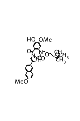 COc1ccc2cc(C3=CN4C(=O)c5cc(O)c(OC)cc5N(COCC[Si](C)(C)C)C(=O)[C@@H]4C3)ccc2c1